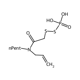 C=CCN(CCCCC)C(=O)CSSP(=O)(O)O